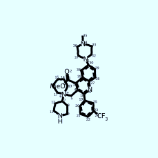 COC(=O)c1c(C[N+]2(C3CCNCC3)CCCCC2)c(-c2cccc(C(F)(F)F)c2)nc2ccc(N3CCN(C)CC3)cc12